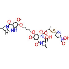 C=C1C[C@H]2CNc3cc(OCCCCCOc4cc5c(cc4OC)C(=O)N4CC(=C)C[C@H]4[C@H](O)N5C(=O)OC[C@@H](C)SSc4ccc(N(O)C=O)cn4)c(OC)cc3C(=O)N2C1